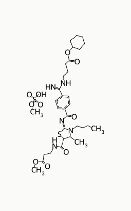 CCCCN1C(=NC(=O)c2ccc(C(=N)NCCCC(=O)OC3CCCCC3)cc2)SC(C(=O)NCCC(=O)OC)C1C.COS(=O)(=O)O